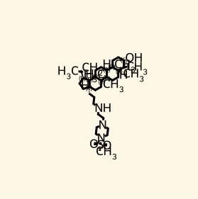 C=C(C)[C@@H]1CC[C@]2(CCCNCCN3CCN(S(C)(=O)=O)CC3)CC[C@]3(C)[C@H](CC[C@@H]4[C@@]5(C)CC[C@H](O)C(C)(C)[C@@H]5CC[C@]43C)[C@@H]12